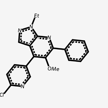 CCn1ncc2c(-c3ccc(Cl)nc3)c(OC)c(-c3ccccc3)nc21